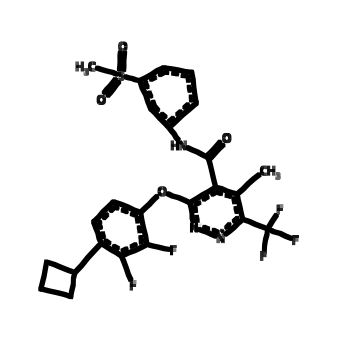 Cc1c(C(F)(F)F)nnc(Oc2ccc(C3CCC3)c(F)c2F)c1C(=O)Nc1cccc(S(C)(=O)=O)c1